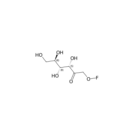 O=C(COF)[C@@H](O)[C@H](O)[C@H](O)CO